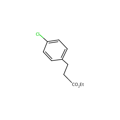 CCOC(=O)CCc1ccc(Cl)cc1